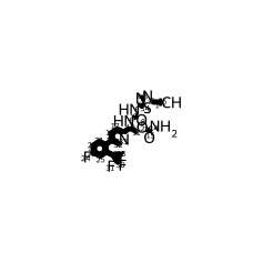 C#Cc1nnc(NC(=O)NC(COC(N)=O)c2ccc(-c3ccc(F)cc3C3CC3(F)F)cn2)s1